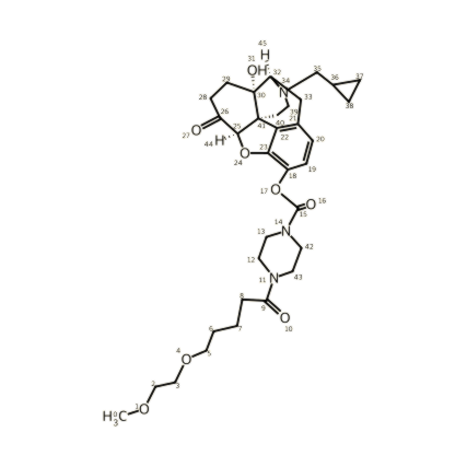 COCCOCCCCC(=O)N1CCN(C(=O)Oc2ccc3c4c2O[C@H]2C(=O)CC[C@@]5(O)[C@@H](C3)N(CC3CC3)CC[C@]425)CC1